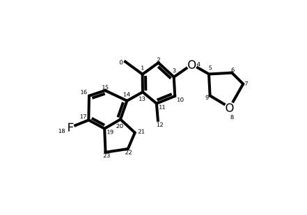 Cc1cc(OC2CCOC2)cc(C)c1-c1ccc(F)c2c1CCC2